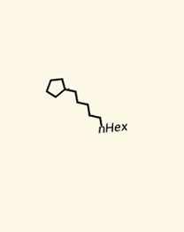 CCCCCCCCCCC[C]1CCCC1